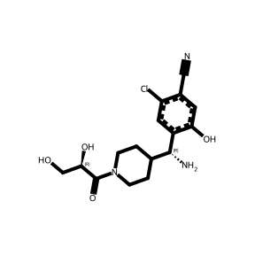 N#Cc1cc(O)c([C@H](N)C2CCN(C(=O)[C@H](O)CO)CC2)cc1Cl